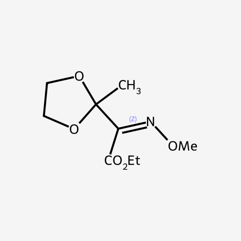 CCOC(=O)/C(=N\OC)C1(C)OCCO1